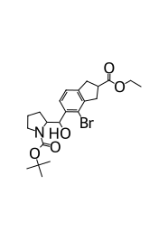 CCOC(=O)C1Cc2ccc(C(O)C3CCCN3C(=O)OC(C)(C)C)c(Br)c2C1